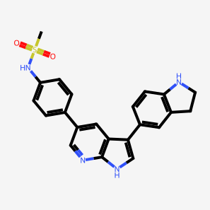 CS(=O)(=O)Nc1ccc(-c2cnc3[nH]cc(-c4ccc5c(c4)CCN5)c3c2)cc1